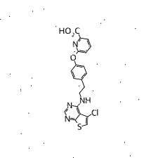 O=C(O)c1cccc(Oc2ccc(CCNc3ncnc4scc(Cl)c34)cc2)n1